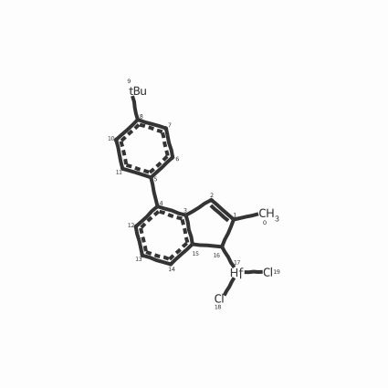 CC1=Cc2c(-c3ccc(C(C)(C)C)cc3)cccc2[CH]1[Hf]([Cl])[Cl]